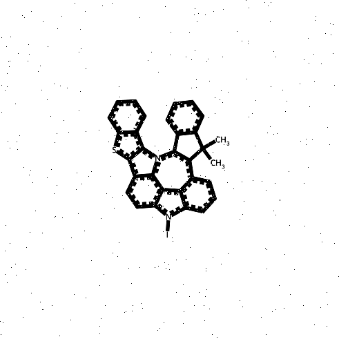 CC1(C)c2ccccc2-c2c1c1cccc3c1c1c(ccc4c5sc6ccccc6c5n2c41)n3I